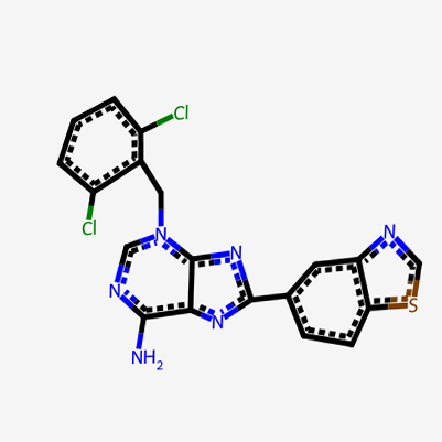 Nc1ncn(Cc2c(Cl)cccc2Cl)c2nc(-c3ccc4scnc4c3)nc1-2